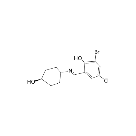 Oc1c(Br)cc(Cl)cc1C=N[C@H]1CC[C@H](O)CC1